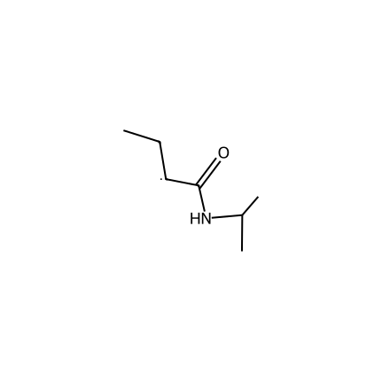 CC[CH]C(=O)NC(C)C